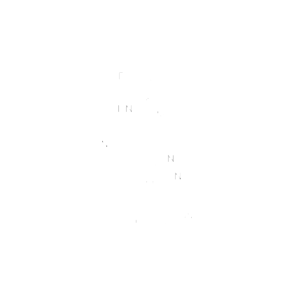 O=C(Nc1cncc(-c2nnc(-c3occc3Cl)o2)c1)c1ccccc1F